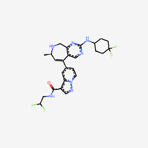 C[C@@H]1C=C(c2ccn3ncc(C(=O)NCC(F)F)c3c2)c2cnc(NC3CCC(F)(F)CC3)nc2CN1